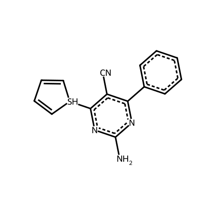 N#Cc1c(-c2ccccc2)nc(N)nc1[SH]1C=CC=C1